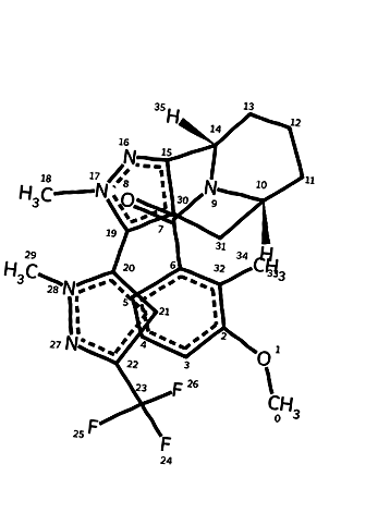 COc1cccc(C(=O)N2[C@@H]3CCC[C@H]2c2nn(C)c(-c4cc(C(F)(F)F)nn4C)c2C3)c1C